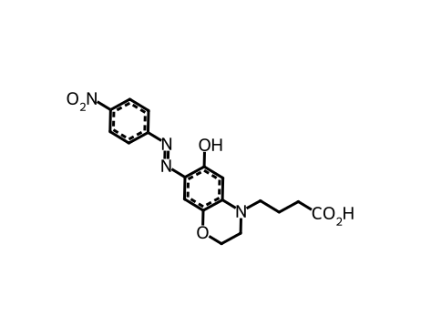 O=C(O)CCCN1CCOc2cc(/N=N/c3ccc([N+](=O)[O-])cc3)c(O)cc21